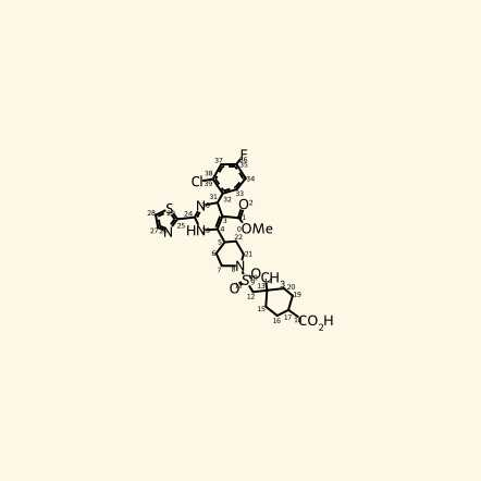 COC(=O)C1=C(C2CCN(S(=O)(=O)CC3(C)CCC(C(=O)O)CC3)CC2)NC(c2nccs2)=NC1c1ccc(F)cc1Cl